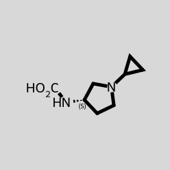 O=C(O)N[C@H]1CCN(C2CC2)C1